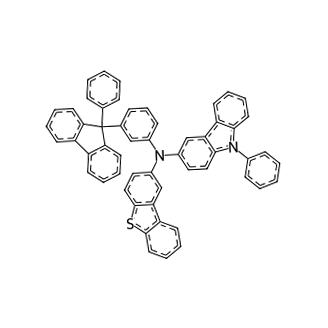 c1ccc(-n2c3ccccc3c3cc(N(c4cccc(C5(c6ccccc6)c6ccccc6-c6ccccc65)c4)c4ccc5sc6ccccc6c5c4)ccc32)cc1